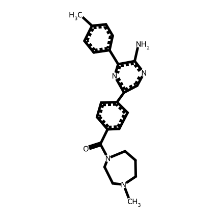 Cc1ccc(-c2nc(-c3ccc(C(=O)N4CCCN(C)CC4)cc3)cnc2N)cc1